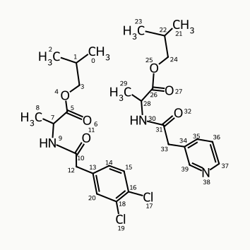 CC(C)COC(=O)C(C)NC(=O)Cc1ccc(Cl)c(Cl)c1.CC(C)COC(=O)C(C)NC(=O)Cc1cccnc1